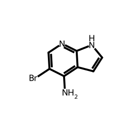 Nc1c(Br)cnc2[nH]ccc12